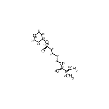 C=C(C)C(=O)OCCCCC(=O)OC1CCOCC1